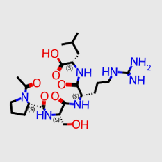 CC(=O)N1CCC[C@H]1C(=O)N[C@@H](CO)C(=O)N[C@@H](CCCNC(=N)N)C(=O)N[C@@H](CC(C)C)C(=O)O